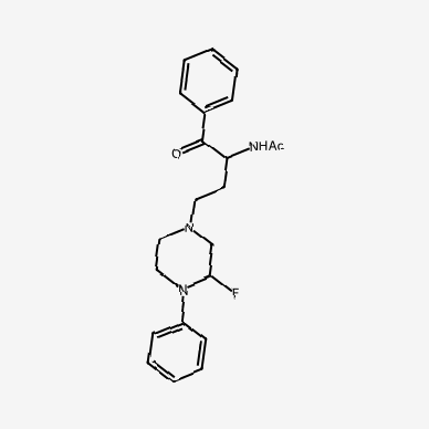 CC(=O)NC(CCN1CCN(c2ccccc2)C(F)C1)C(=O)c1ccccc1